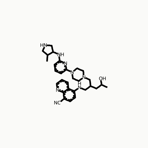 CC(O)CC(CNc1ccc(C#N)c2ncccc12)CN1CCN(c2cccc(NC3CNCC3C)n2)CC1